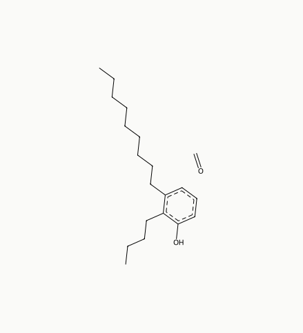 C=O.CCCCCCCCCc1cccc(O)c1CCCC